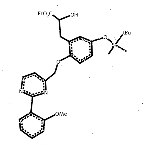 CCOC(=O)C(O)Cc1cc(O[Si](C)(C)C(C)(C)C)ccc1OCc1ccnc(-c2ccccc2OC)n1